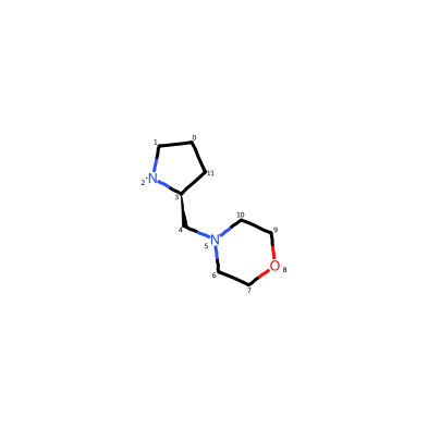 C1C[N][C@H](CN2CCOCC2)C1